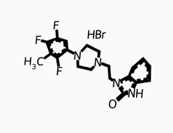 Br.Cc1c(F)c(F)cc(N2CCN(CCn3c(=O)[nH]c4ccccc43)CC2)c1F